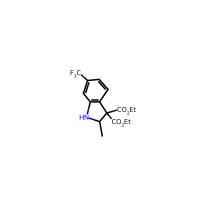 CCOC(=O)C1(C(=O)OCC)c2ccc(C(F)(F)F)cc2NC1C